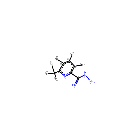 [3H]c1c(C(=N)NN)nc(C([3H])([3H])[3H])c([3H])c1[3H]